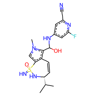 CC(C)[C@H]1C=Cc2c(cn(C)c2C(O)Nc2cc(F)nc(C#N)c2)S(=N)(=O)N1